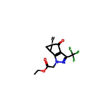 CCOC(=O)Cn1nc(C(F)(F)F)c2c1C1C[C@H]1C2=O